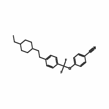 CCC1CCC(CCc2ccc(C(F)(F)Oc3ccc(C#N)cc3)cc2)CC1